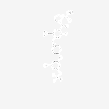 O=C(O)[C@@H]1CCCN1C(=O)c1cc(C2CC2)c(CN2CCC(Oc3cc(Cl)cc(OC(F)(F)F)c3)CC2)cc1F